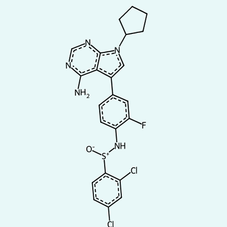 Nc1ncnc2c1c(-c1ccc(N[S+]([O-])c3ccc(Cl)cc3Cl)c(F)c1)cn2C1CCCC1